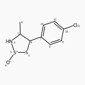 CC1N[S+]([O-])SC1c1ccc(Cl)cc1